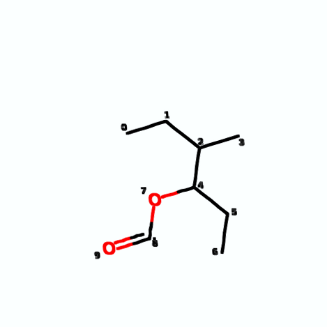 CCC(C)C(CC)O[C]=O